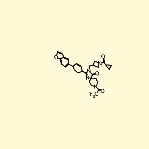 O=C(C1CC1)N1CC(CN2C(=O)C3(CCN(C(=O)C(F)(F)F)CC3)N=C2C2C=CC(c3ccc4occc4c3)CC2)C1